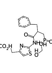 O=C(O)Cc1csc(NC(=O)C(Cc2ccccc2)C[PH](=O)OCO)n1